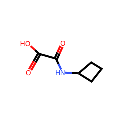 O=C(O)C(=O)NC1CCC1